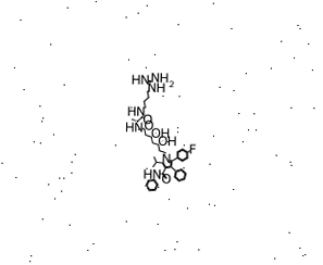 CC(C)c1c(C(=O)Nc2ccccc2)c(-c2ccccc2)c(-c2ccc(F)cc2)n1CC[C@@H](O)C[C@@H](O)CC(=O)N[C@@H](C)C(=O)NCCCCNC(=N)N